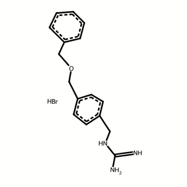 Br.N=C(N)NCc1ccc(COCc2ccccc2)cc1